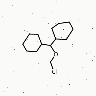 ClCOC(C1CCCCC1)C1CCCCC1